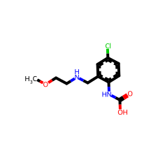 COCCNCc1cc(Cl)ccc1NC(=O)O